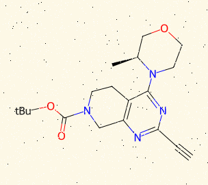 C#Cc1nc2c(c(N3CCOC[C@@H]3C)n1)CCN(C(=O)OC(C)(C)C)C2